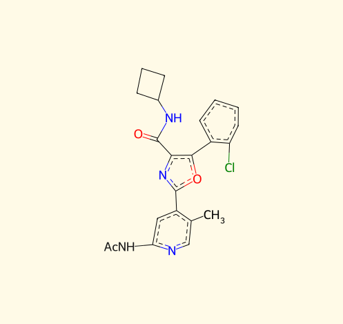 CC(=O)Nc1cc(-c2nc(C(=O)NC3CCC3)c(-c3ccccc3Cl)o2)c(C)cn1